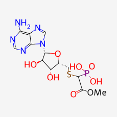 COC(=O)C(SC[C@H]1O[C@@H](n2cnc3c(N)ncnc32)[C@H](O)[C@H]1O)P(=O)(O)O